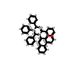 c1ccc(C2=NC(c3ccccc3)N(c3ccccc3)C(c3ccccc3)N2c2cc3ccccc3c3ccccc23)cc1